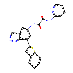 O=C(Nc1cc(-c2cc3ccccc3s2)c2[nH]ncc2c1)C(=O)Nc1ccccn1